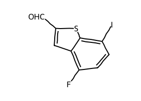 O=Cc1cc2c(F)ccc(I)c2s1